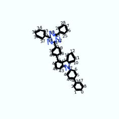 c1ccc(-c2ccc(-n3c4ccccc4c4c(-c5ccc(-c6nc(-c7ccccc7)nc(-c7ccccc7)n6)cc5)cccc43)cc2)cc1